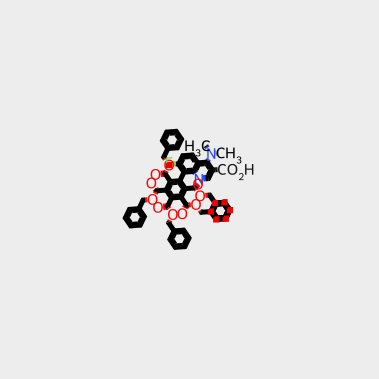 CN(C)c1c(C(=O)O)cnc2c(-c3c(C(=O)OCc4ccccc4)c(C(=O)OCc4ccccc4)c(C(=O)OCc4ccccc4)c(C(=O)OCc4ccccc4)c3C(=O)OCc3ccccc3)c(F)ccc12